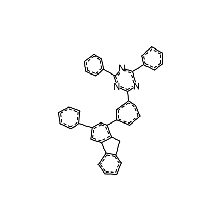 c1ccc(-c2cc(-c3cccc(-c4nc(-c5ccccc5)nc(-c5ccccc5)n4)c3)c3c(c2)-c2ccccc2C3)cc1